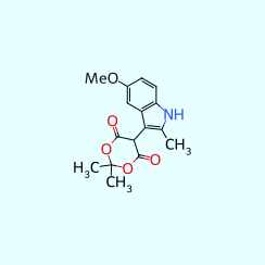 COc1ccc2[nH]c(C)c(C3C(=O)OC(C)(C)OC3=O)c2c1